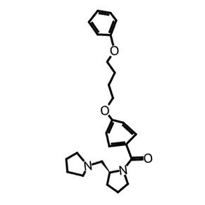 O=C(c1ccc(OCCCCOc2ccccc2)cc1)N1CCC[C@H]1CN1CCCC1